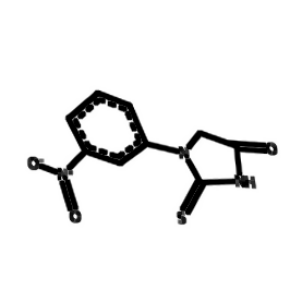 O=C1CN(c2cccc([N+](=O)[O-])c2)C(=S)N1